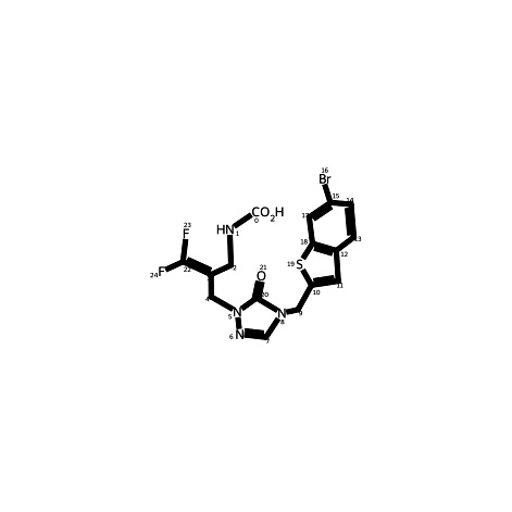 O=C(O)NCC(Cn1ncn(Cc2cc3ccc(Br)cc3s2)c1=O)=C(F)F